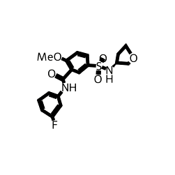 COc1ccc(S(=O)(=O)N[C@H]2CCOC2)cc1C(=O)Nc1cccc(F)c1